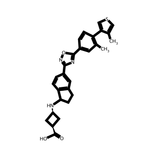 Cc1cc(-c2nc(-c3ccc4c(c3)CCC4N[C@H]3C[C@H](C(=O)O)C3)no2)ccc1-c1cscc1C